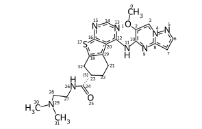 COc1cn2nccc2nc1Nc1ncnc2sc3c(c12)CC[C@H](C(=O)NCCN(C)C)C3